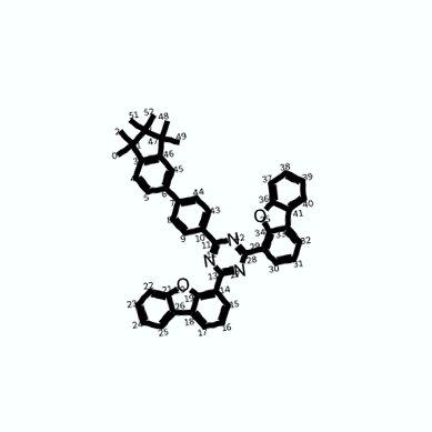 CC1(C)c2ccc(-c3ccc(-c4nc(-c5cccc6c5oc5ccccc56)nc(-c5cccc6c5oc5ccccc56)n4)cc3)cc2C(C)(C)C1(C)C